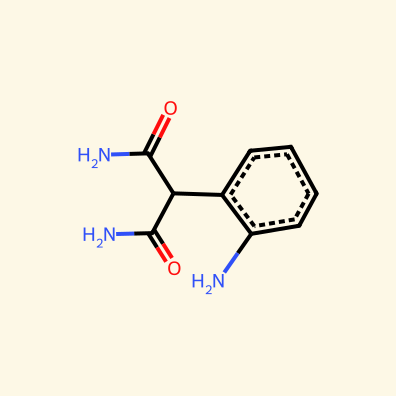 NC(=O)C(C(N)=O)c1ccccc1N